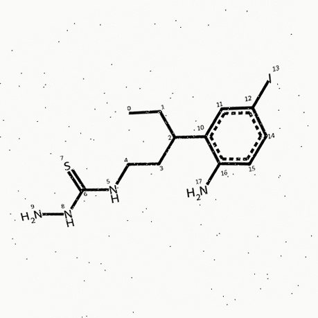 CCC(CCNC(=S)NN)c1cc(I)ccc1N